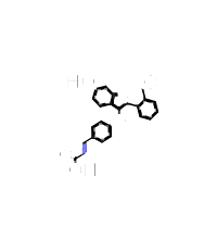 O=Cc1ccccc1-c1sc2cc(O)ccc2c1Oc1ccc(/C=C/C(=O)O)cc1